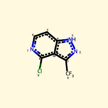 FC(F)(F)c1n[nH]c2ccnc(Cl)c12